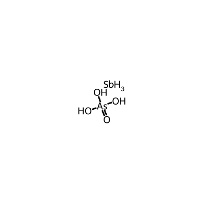 O=[As](O)(O)O.[SbH3]